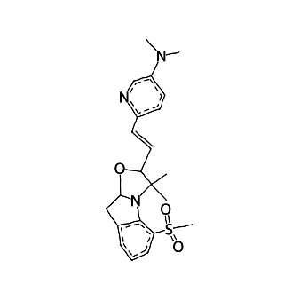 CN(C)c1ccc(C=CC2OC3Cc4cccc(S(C)(=O)=O)c4N3C2(C)C)nc1